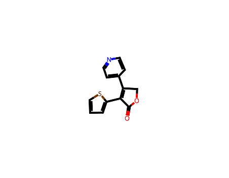 O=C1OCC(c2ccncc2)=C1c1cccs1